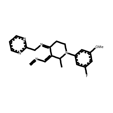 C=N/C=C1\C(=N/Cc2ncccn2)CCN(c2cc(F)cc(OC)c2)C1C